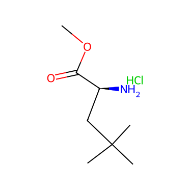 COC(=O)[C@@H](N)CC(C)(C)C.Cl